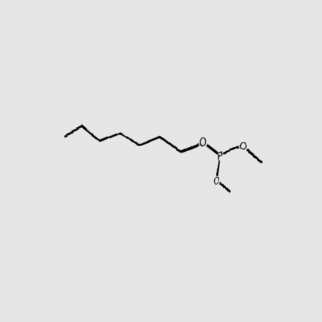 CCCCCCCOP(OC)OC